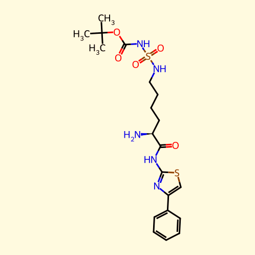 CC(C)(C)OC(=O)NS(=O)(=O)NCCCC[C@H](N)C(=O)Nc1nc(-c2ccccc2)cs1